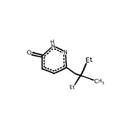 CCC(C)(CC)c1ccc(=O)[nH]n1